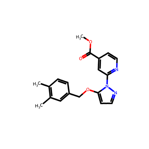 COC(=O)c1ccnc(-n2nccc2OCc2ccc(C)c(C)c2)c1